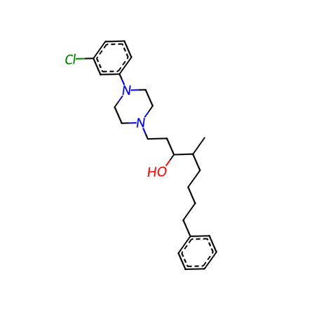 CC(CCCCc1ccccc1)C(O)CCN1CCN(c2cccc(Cl)c2)CC1